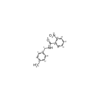 Cc1ccc(CNC(=O)c2ccccc2[N+](=O)[O-])cc1